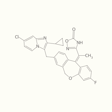 CC(=C1c2ccc(Cc3c(C4CC4)nc4cc(Cl)ccn34)cc2COc2cc(F)ccc21)c1noc(=O)[nH]1